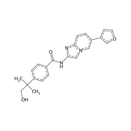 CC(C)(CO)c1ccc(C(=O)Nc2cn3cc(-c4ccoc4)ccc3n2)cc1